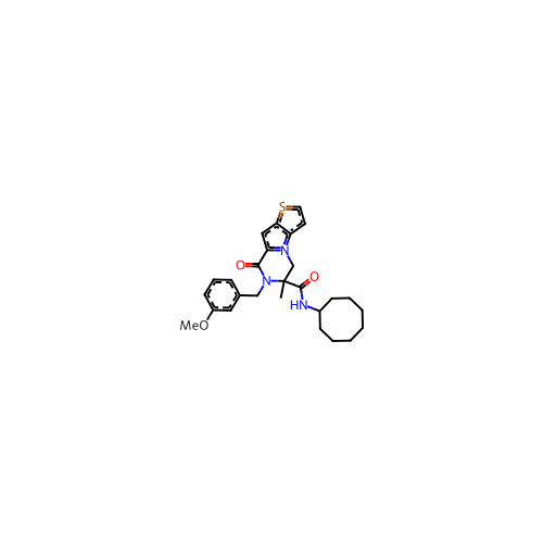 COc1cccc(CN2C(=O)c3cc4sccc4n3CC2(C)C(=O)NC2CCCCCCC2)c1